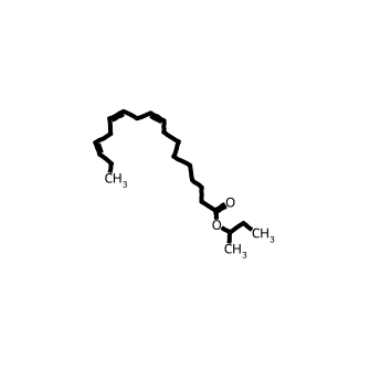 CC/C=C\C/C=C\C/C=C\CCCCCCCC(=O)OC(C)CC